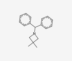 CC1(C)CN(C(c2ccccc2)c2ccccc2)C1